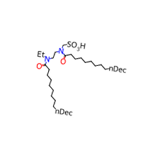 CCCCCCCCCCCCCCCCCCC(=O)N(CC)CCN(CS(=O)(=O)O)C(=O)CCCCCCCCCCCCCCCCCC